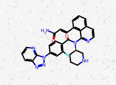 NC(=O)/C=C/c1cccc2ccnc(N(C(=O)c3ccc(-n4nnc5cccnc54)cc3F)[C@@H]3CCCNC3)c12